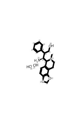 CN1CCc2c(ccc3c2OCO3)C1[C@@H](N)C(CO)c1ccccc1.Cl.Cl